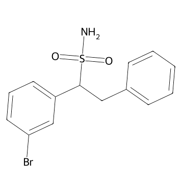 NS(=O)(=O)C(Cc1ccccc1)c1cccc(Br)c1